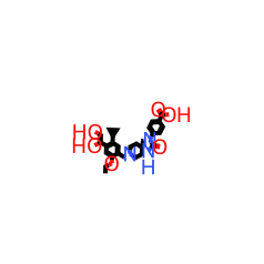 CCOc1cc(C(O)CO)c(C2CC2)cc1CN1CCC2(CC1)CN(c1ccc(C(=O)O)cc1)C(=O)N2